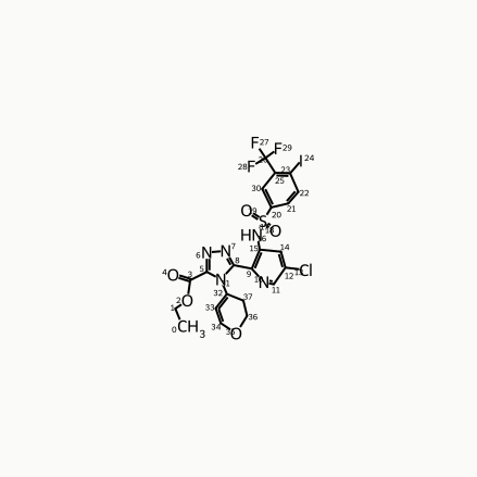 CCOC(=O)c1nnc(-c2ncc(Cl)cc2NS(=O)(=O)c2ccc(I)c(C(F)(F)F)c2)n1C1=C=COCC1